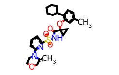 Cc1ccc(C2CCCCC2)c(OC2(C(=O)NS(=O)(=O)c3cccc(N4CCOC[C@@H]4C)n3)CC2)c1